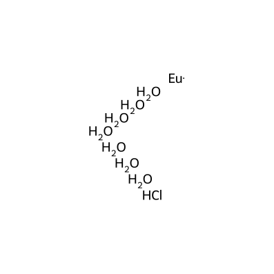 Cl.O.O.O.O.O.O.O.[Eu]